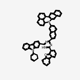 N=C(/N=C(\N=C\c1ccc2c3ccccc3n(C3=CC=CCC3)c2c1)c1ccc2ccc(N3c4cc5ccccc5cc4-c4cccc5cccc3c45)cc2c1)c1cccc2c1oc1ccccc12